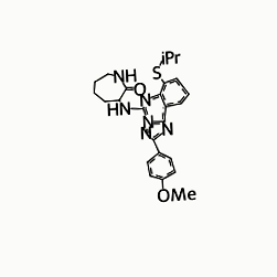 COc1ccc(-c2nc3c4cccc(SC(C)C)c4nc(N[C@@H]4CCCCNC4=O)n3n2)cc1